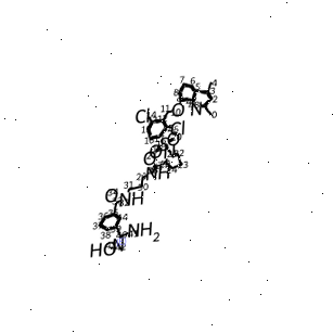 Cc1cc(C)c2cccc(OCc3c(Cl)ccc(S(=O)(=O)N4CCC[C@H]4C(=O)NCCCNC(=O)c4cccc(/C(N)=N\O)c4)c3Cl)c2n1